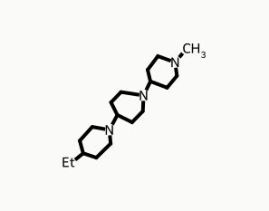 CCC1CCN(C2CCN(C3CCN(C)CC3)CC2)CC1